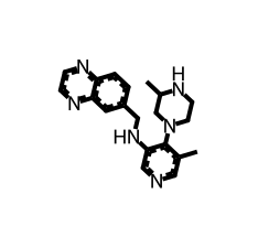 Cc1cncc(NCc2ccc3nccnc3c2)c1N1CCNC(C)C1